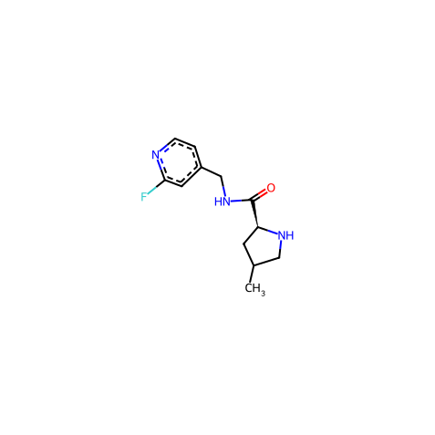 CC1CN[C@H](C(=O)NCc2ccnc(F)c2)C1